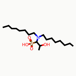 CCCCCCCCN(CCCCCCCC)C(C(C)O)S(=O)(=O)O